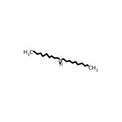 CCCCCCCCCC[N]([Ti])CCCCCCCCCC